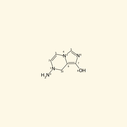 NN1C=C[N+]2C=NC(O)=C2C1